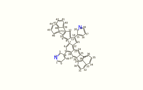 c1cncc(-c2cc3c4cc5c(cc4c(-c4cccnc4)cc3c3cc4c(cc23)-c2cccc3cccc-4c23)-c2cccc3cccc-5c23)c1